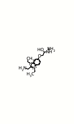 CCn1c(CN)[n+](CC)c2ccc(OCC(O)NN)cc21